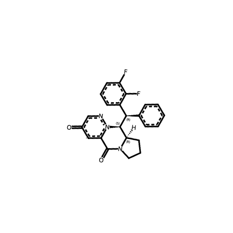 O=C1c2[c]c(=O)cnn2[C@@H]([C@H](c2ccccc2)c2cccc(F)c2F)[C@H]2CCCN12